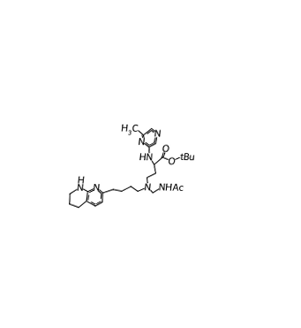 CC(=O)NCN(CCCCc1ccc2c(n1)NCCC2)CCC(Nc1cncc(C)n1)C(=O)OC(C)(C)C